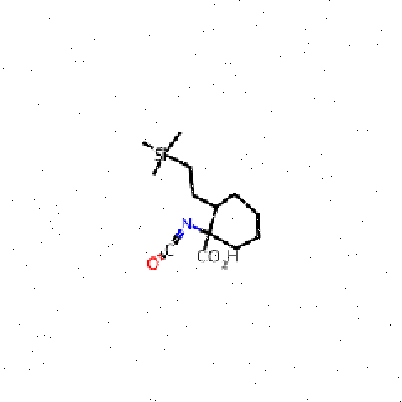 C[Si](C)(C)CCC1CCCCC1(N=C=O)C(=O)O